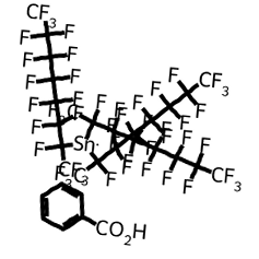 FC(F)(F)C(F)(F)C(F)(F)C(F)(F)C(F)(F)C(F)(F)[C](F)([Sn]([C](F)(C(F)(F)F)C(F)(F)C(F)(F)C(F)(F)C(F)(F)C(F)(F)C(F)(F)F)[C](F)(C(F)(F)F)C(F)(F)C(F)(F)C(F)(F)C(F)(F)C(F)(F)C(F)(F)F)C(F)(F)F.O=C(O)c1ccccc1